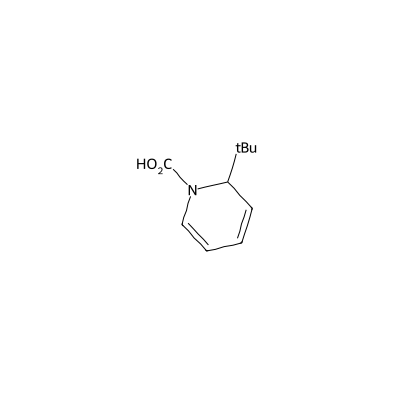 CC(C)(C)C1C=CC=CN1C(=O)O